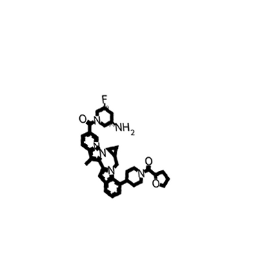 Cc1c(-c2cc3cccc(C4CCN(C(=O)C5CCCO5)CC4)c3n2CC2CC2)nn2cc(C(=O)N3C[C@H](N)C[C@@H](F)C3)ccc12